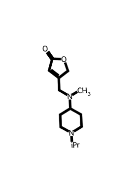 CC(C)N1CCC(N(C)CC2=CC(=O)OC2)CC1